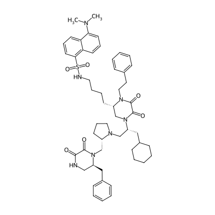 CN(C)c1cccc2c(S(=O)(=O)NCCCC[C@H]3CN([C@H](CC4CCCCC4)CN4CCC[C@H]4CN4C(=O)C(=O)NC[C@@H]4Cc4ccccc4)C(=O)C(=O)N3CCc3ccccc3)cccc12